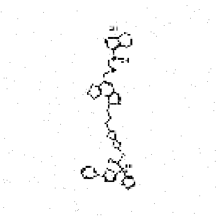 O=C(OC1CC2(C1)CN(CCCn1nnc3cc(CNC[C@H](O)c4ccc(O)c5c4CCCC5)c4c(c31)CCC4)C2)[C@@](O)(c1cccs1)c1ccc(-c2ccccc2)s1